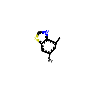 Cc1cc(C(C)C)cc2scnc12